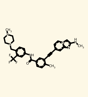 CNc1cn2ccc(C#Cc3cc(C(=O)Nc4ccc(CN5CCN(C)CC5)c(C(F)(F)F)c4)ccc3C)cc2n1